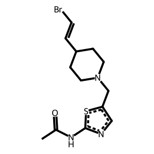 CC(=O)Nc1ncc(CN2CCC(C=CBr)CC2)s1